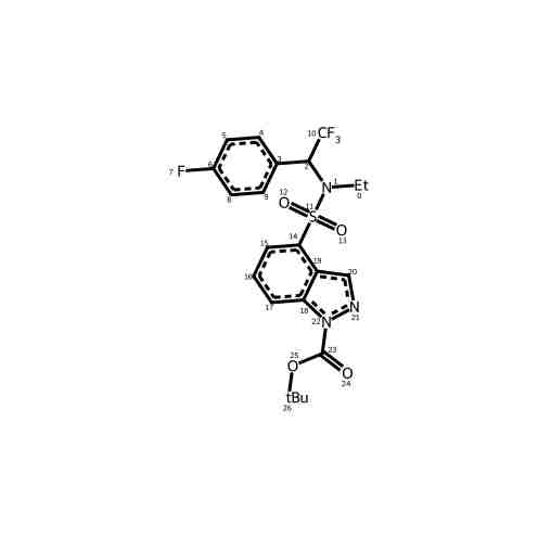 CCN(C(c1ccc(F)cc1)C(F)(F)F)S(=O)(=O)c1cccc2c1cnn2C(=O)OC(C)(C)C